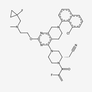 C=C(F)C(=O)N1CCN(c2nc(OCCN(C)CC3(F)CC3)nc3c2CCN(c2cccc4cccc(Cl)c24)C3)C[C@@H]1CC#N